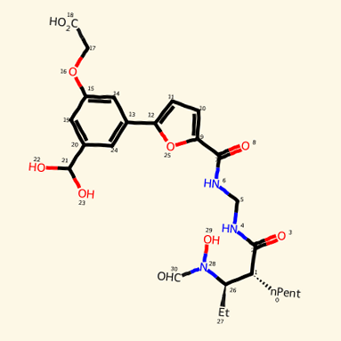 CCCCC[C@@H](C(=O)NCNC(=O)c1ccc(-c2cc(OCC(=O)O)cc(C(O)O)c2)o1)[C@@H](CC)N(O)C=O